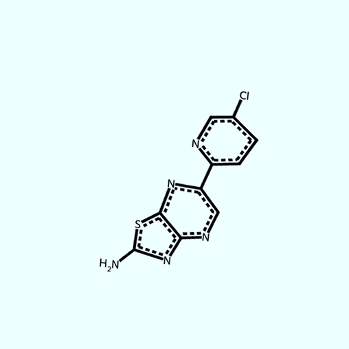 Nc1nc2ncc(-c3ccc(Cl)cn3)nc2s1